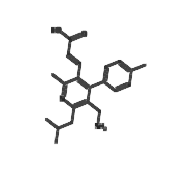 Cc1ccc(-c2c(C=CC(=O)O)c(C)nc(CC(C)C)c2CN)cc1